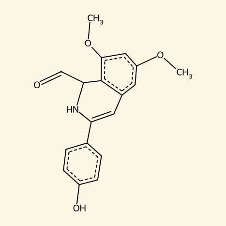 COc1cc2c(c(OC)c1)C(C=O)NC(c1ccc(O)cc1)=C2